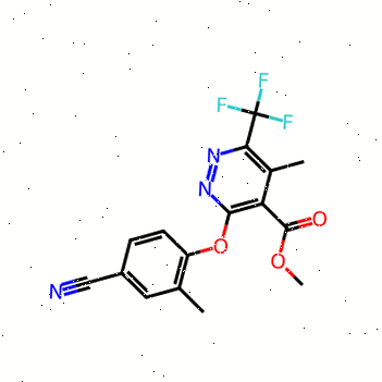 COC(=O)c1c(Oc2ccc(C#N)cc2C)nnc(C(F)(F)F)c1C